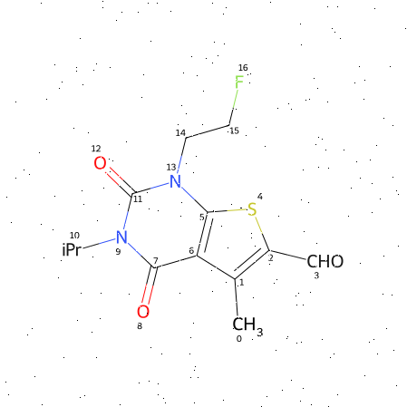 Cc1c(C=O)sc2c1c(=O)n(C(C)C)c(=O)n2CCF